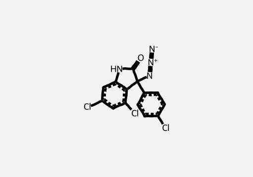 [N-]=[N+]=NC1(c2ccc(Cl)cc2)C(=O)Nc2cc(Cl)cc(Cl)c21